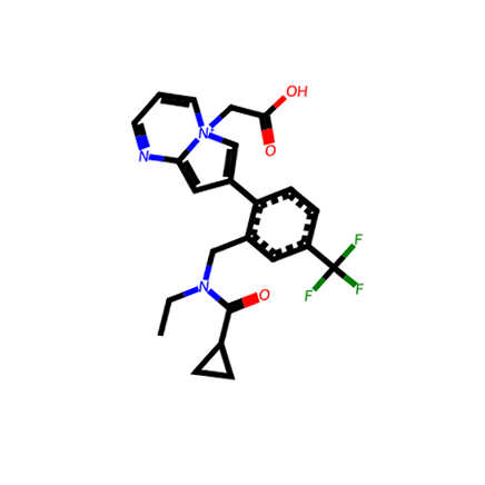 CCN(Cc1cc(C(F)(F)F)ccc1C1=C[N+]2(CC(=O)O)C=CC=NC2=C1)C(=O)C1CC1